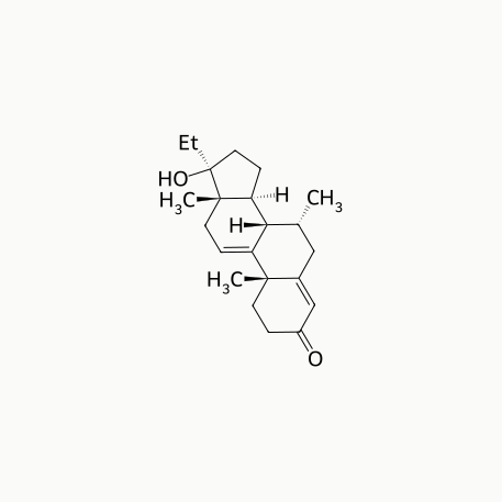 CC[C@]1(O)CC[C@H]2[C@H]3C(=CC[C@@]21C)[C@@]1(C)CCC(=O)C=C1C[C@H]3C